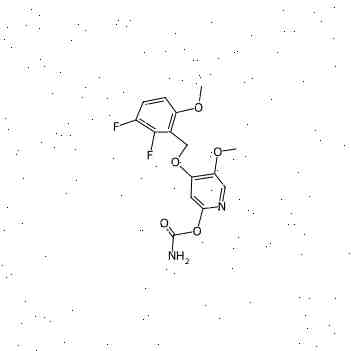 COc1cnc(OC(N)=O)cc1OCc1c(OC)ccc(F)c1F